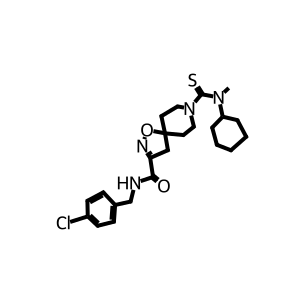 CN(C(=S)N1CCC2(CC1)CC(C(=O)NCc1ccc(Cl)cc1)=NO2)C1CCCCC1